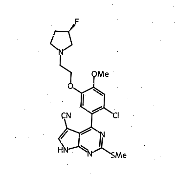 COc1cc(Cl)c(-c2nc(SC)nc3[nH]cc(C#N)c23)cc1OCCN1CC[C@@H](F)C1